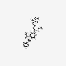 CCN(CCOS(=O)(=O)O)c1ccc(N=Nc2ncns2)c([N+](=O)[O-])c1